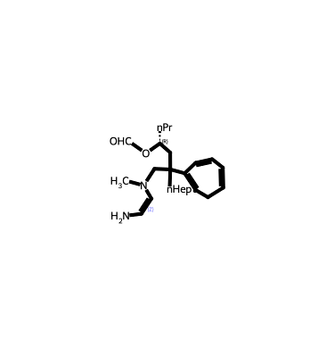 CCCCCCCC(C[C@@H](CCC)OC=O)(CN(C)/C=C\N)C1=CCC=CC=C1